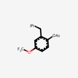 CC(=O)Oc1ccc(OC(F)(F)F)cc1CC(C)C